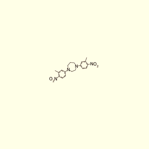 Cc1cc(N2CCCN(c3ccc([N+](=O)[O-])c(C)c3)CC2)ccc1[N+](=O)[O-]